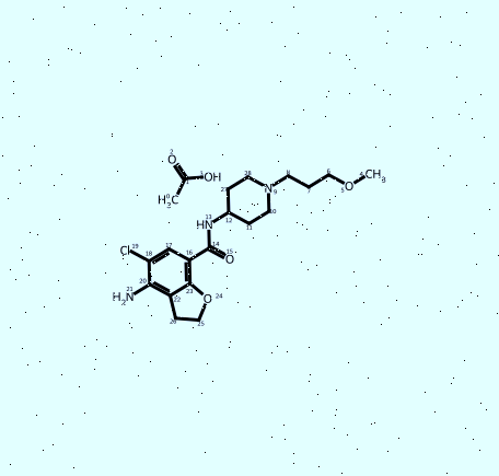 CC(=O)O.COCCCN1CCC(NC(=O)c2cc(Cl)c(N)c3c2OCC3)CC1